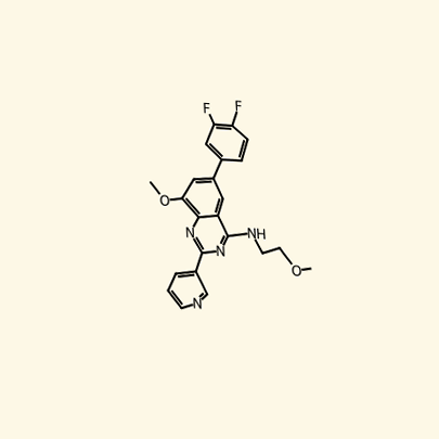 COCCNc1nc(-c2cccnc2)nc2c(OC)cc(-c3ccc(F)c(F)c3)cc12